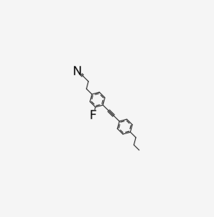 CCCc1ccc(C#Cc2ccc(CCC#N)cc2F)cc1